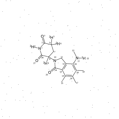 [2H]N1C(=O)C([2H])([2H])CC([2H])(N2Cc3c(c(C)c(C)c(C)c3N([2H])C)C2=O)C1=O